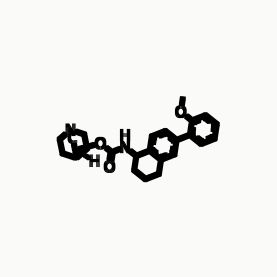 COc1ccccc1-c1ccc2c(c1)CCCC2NC(=O)O[C@H]1CN2CCC1CC2